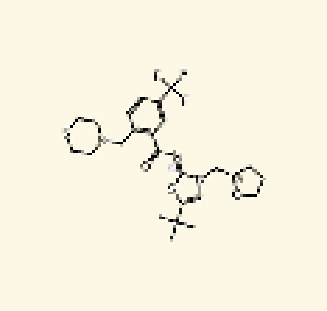 CC(C)(C)c1cn(C[C@H]2CCCO2)/c(=N/C(=O)c2cc(C(F)(F)F)ccc2CN2CCSCC2)s1